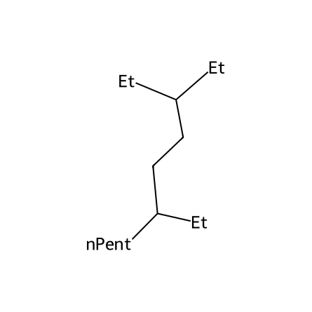 CCCCCC(CC)CCC(CC)CC